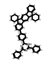 C1=C2C(=CC3c4ccccc4C4(CCCCC4)C13)C1(CCCCC1)c1ccc(-c3ccc(C4N=C(c5ccccc5)N=C(c5ccccc5)N4)cc3)cc12